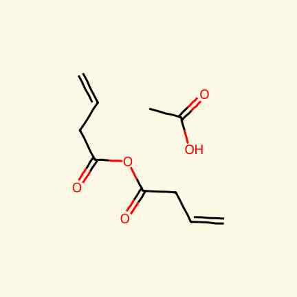 C=CCC(=O)OC(=O)CC=C.CC(=O)O